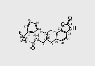 CN(C)[C@H](CNC(=O)[C@@H]1C[C@]1(C)c1ccccc1)Cc1ccc2[nH]c(=O)oc2c1